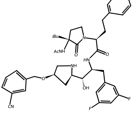 CCC(C)[C@@]1(NC(C)=O)CCN([C@@H](CCc2ccccc2)C(=O)N[C@@H](Cc2cc(F)cc(F)c2)[C@H](O)[C@H]2C[C@@H](OCc3cccc(C#N)c3)CN2)C1=O